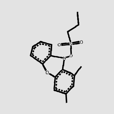 CCCS(=O)(=O)ON1c2ccccc2Oc2cc(C)cc(C)c21